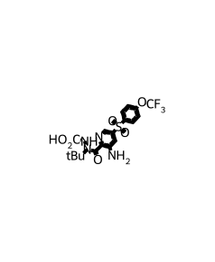 CC(C)(C)N(NC(=O)O)C(=O)c1ncc(S(=O)(=O)c2ccc(OC(F)(F)F)cc2)cc1N